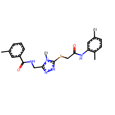 CCc1ccc(C)c(NC(=O)CSc2nnc(CNC(=O)c3cccc(C)c3)n2CC)c1